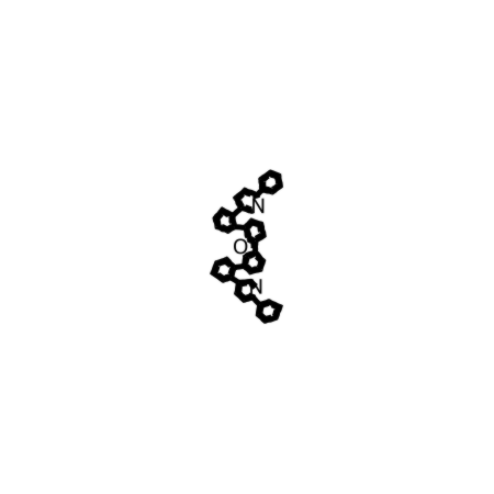 c1ccc(-c2ccc(-c3ccccc3-c3cccc4c3oc3c(-c5ccccc5-c5ccc(-c6ccccc6)nc5)cccc34)cn2)cc1